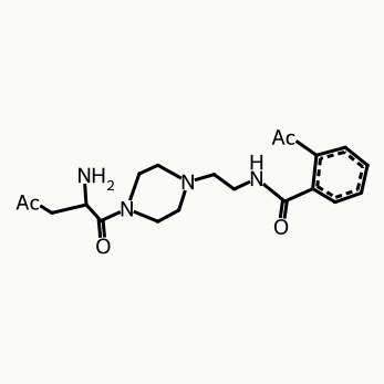 CC(=O)CC(N)C(=O)N1CCN(CCNC(=O)c2ccccc2C(C)=O)CC1